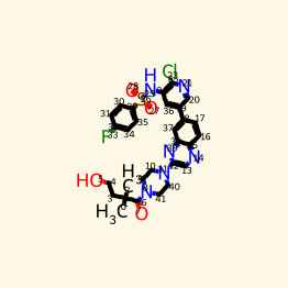 CC(C)(CCO)C(=O)N1CCN(c2cnc3ccc(-c4cnc(Cl)c(NS(=O)(=O)c5ccc(F)cc5)c4)cc3n2)CC1